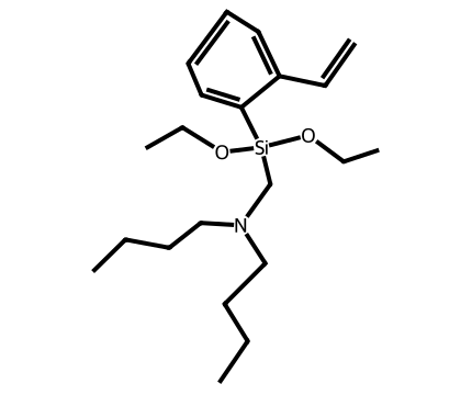 C=Cc1ccccc1[Si](CN(CCCC)CCCC)(OCC)OCC